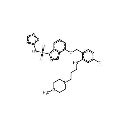 CN1CCN(CCCNc2cc(Cl)ccc2COc2cccc3c2cnn3S(=O)(=O)Nc2ncns2)CC1